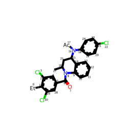 CCc1c(Cl)cc(C(=O)N2c3ccccc3C(N(C(C)=O)c3ccc(Cl)cc3)CC2C)cc1Cl